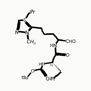 CC(C)C[C@H](NC(=O)OC(C)(C)C)C(=O)NC(C=O)CCCC1=S(C(C)C)C=NN1C